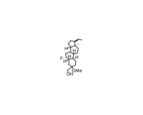 C/C=C1/CC[C@H]2[C@@H]3C[C@@H](F)[C@H]4CC(CO)(OC)CC[C@@H]4[C@H]3CC[C@]12C